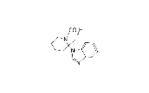 CC1(n2cnc3ccccc32)CCCCN1C(=O)O